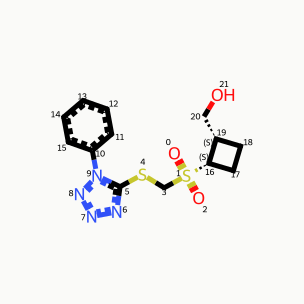 O=S(=O)(CSc1nnnn1-c1ccccc1)[C@H]1CC[C@H]1CO